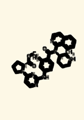 COC(=O)[C@H]1CCCN1c1ccnc(Nc2ccc(C(=O)N(c3nccc4cccc(C)c34)[C@@H]3CCCNC3)c(F)c2)n1